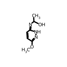 COc1cc/c(=N/C(C)O)[nH]n1